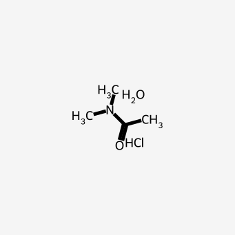 CC(=O)N(C)C.Cl.O